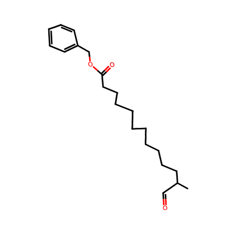 CC(C=O)CCCCCCCCCCC(=O)OCc1ccccc1